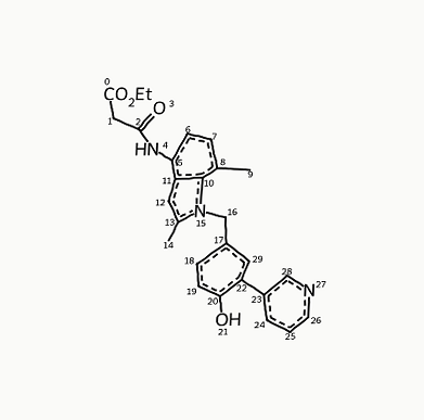 CCOC(=O)CC(=O)Nc1ccc(C)c2c1cc(C)n2Cc1ccc(O)c(-c2cccnc2)c1